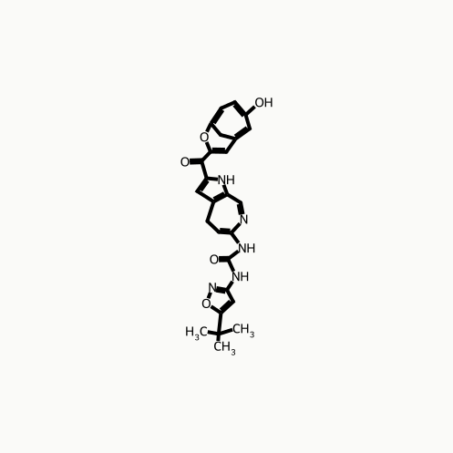 CC(C)(C)c1cc(NC(=O)NC2=CCc3cc(C(=O)C4=CC5=CC(O)=CC=C(C5)O4)[nH]c3C=N2)no1